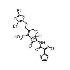 CCc1nc(CC)c(SCC2=C(C(=O)O)N3C(=O)C(NC(=O)C(=S=O)c4cccs4)[C@H]3SC2)s1